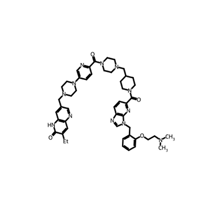 CCc1cc2ncc(CN3CCN(c4ccc(C(=O)N5CCN(CC6CCN(C(=O)c7ccc8ncn(Cc9ccccc9OCCN(C)C)c8n7)CC6)CC5)nc4)CC3)cc2[nH]c1=O